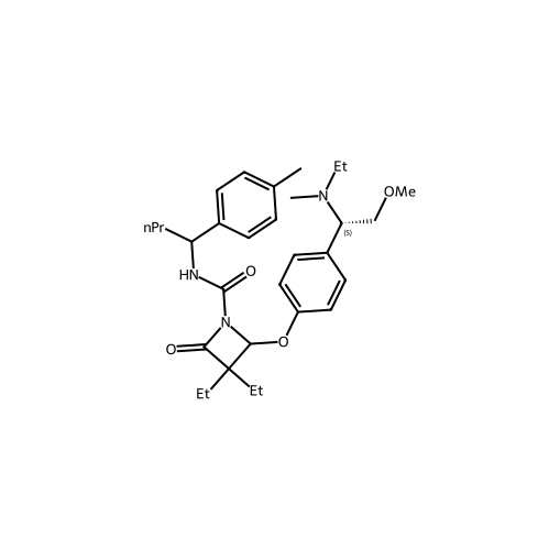 CCCC(NC(=O)N1C(=O)C(CC)(CC)C1Oc1ccc([C@@H](COC)N(C)CC)cc1)c1ccc(C)cc1